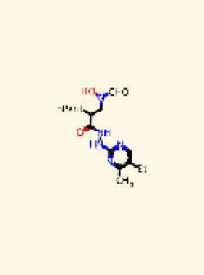 CCCCCC(CN(O)C=O)C(=O)NNc1ncc(CC)c(C)n1